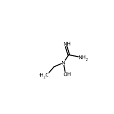 [CH2]CN(O)C(=N)N